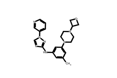 Cc1cc(Nc2ncn(-c3cccnc3)n2)cc(N2CCN(C3COC3)CC2)c1